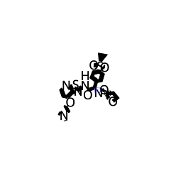 CN(C)CCOc1ccnc2sc(NC(=O)/C(=N/O[C@@H]3CCOC3)c3ccc(S(=O)(=O)C4CC4)cc3)nc12